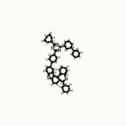 c1ccc(-c2cccc(-c3nc(-c4ccccc4)nc(-c4ccc(-c5ccc6sc7ccc8c(-c9ccccc9)nc9ccccc9c8c7c6c5)cc4)n3)c2)cc1